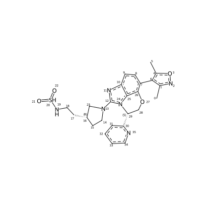 Cc1noc(C)c1-c1ccc2nc(N3CC[C@H](CCN[SH](=O)=O)C3)n3c2c1OC[C@@H]3c1ccccn1